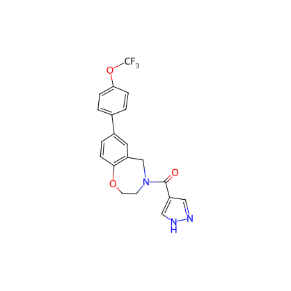 O=C(c1cn[nH]c1)N1CCOc2ccc(-c3ccc(OC(F)(F)F)cc3)cc2C1